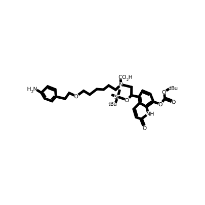 CC(C)(C)OC(=O)Oc1ccc(C(CN(CCCCCCOCCc2ccc(N)cc2)C(=O)O)O[Si](C)(C)C(C)(C)C)c2ccc(=O)[nH]c12